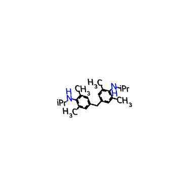 Cc1cc(Cc2cc(C)c(NC(C)C)c(C)c2)cc(C)c1NC(C)C